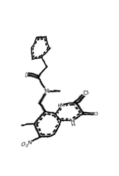 Cc1c([N+](=O)[O-])cc2[nH]c(=O)c(=O)[nH]c2c1CN(C)C(=O)Cc1ccccc1